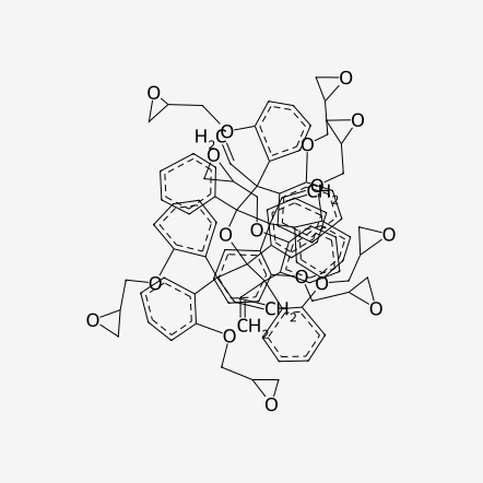 C=CC(c1ccccc1OCC1CO1)(c1ccccc1OCC1CO1)C(OC(c1ccccc1)(C(C=C)(c1ccccc1OCC1CO1)c1ccccc1OCC1CO1)C(C=C)(c1ccccc1OCC1CO1)c1ccccc1OCC1CO1)(c1ccccc1)C(C=C)(c1ccccc1OCC1CO1)c1ccccc1OCC1CO1